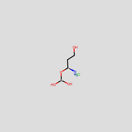 Cl.N[C@H](CCO)OB(O)O